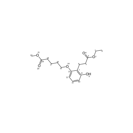 CCOC(=O)CCc1c(O)cccc1OCCCCC(=O)OC